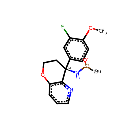 CC(C)(C)[S+]([O-])N[C@]1(c2ccc(OC(F)(F)F)c(F)c2)CCOc2cccnc21